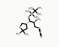 C[C@@H](CN=[N+]=[N-])C(O[Si](C)(C)C(C)(C)C)[C@H]1COC(C)(C)C1